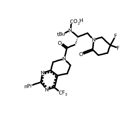 CCCc1nc2c(c(C(F)(F)F)n1)CCN(C(=O)C[C@@H](CN1CC(F)(F)CCC1=O)N(C(=O)O)C(C)(C)C)C2